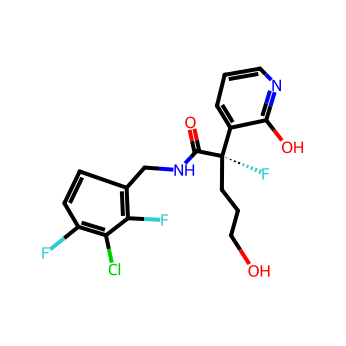 O=C(NCc1ccc(F)c(Cl)c1F)[C@](F)(CCCO)c1cccnc1O